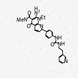 CCn1c(N)c(C(=O)NC)c(=O)c2ccc(-c3ccc(NC(=O)NCCc4cccnc4)cc3)nc21